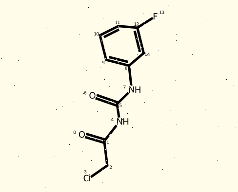 O=C(CCl)NC(=O)Nc1cccc(F)c1